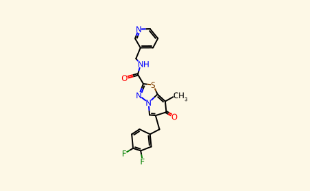 Cc1c(=O)c(Cc2ccc(F)c(F)c2)cn2nc(C(=O)NCc3cccnc3)sc12